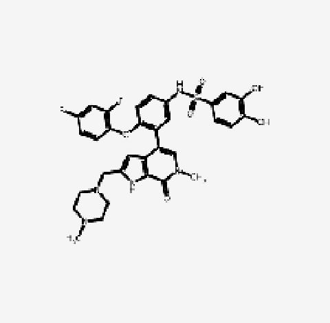 CN1CCN(Cc2cc3c(-c4cc(NS(=O)(=O)c5ccc(O)c(O)c5)ccc4Oc4ccc(F)cc4F)cn(C)c(=O)c3[nH]2)CC1